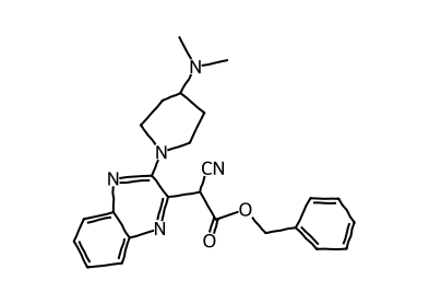 CN(C)C1CCN(c2nc3ccccc3nc2C(C#N)C(=O)OCc2ccccc2)CC1